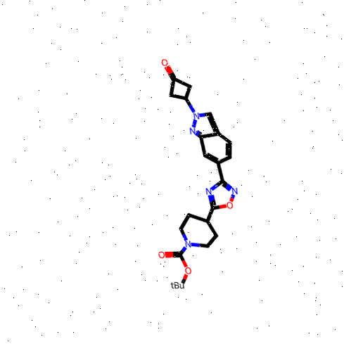 CC(C)(C)OC(=O)N1CCC(c2nc(-c3ccc4cn(C5CC(=O)C5)nc4c3)no2)CC1